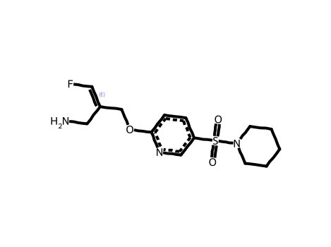 NC/C(=C\F)COc1ccc(S(=O)(=O)N2CCCCC2)cn1